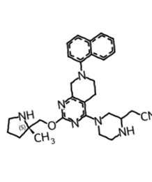 C[C@@]1(COc2nc3c(c(N4CCNC(CC#N)C4)n2)CCN(c2cccc4ccccc24)C3)CCCN1